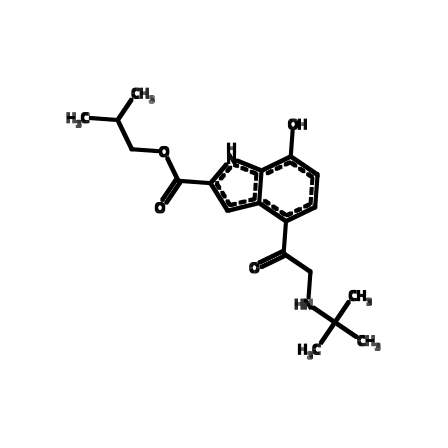 CC(C)COC(=O)c1cc2c(C(=O)CNC(C)(C)C)ccc(O)c2[nH]1